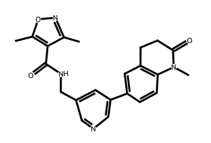 Cc1noc(C)c1C(=O)NCc1cncc(-c2ccc3c(c2)CCC(=O)N3C)c1